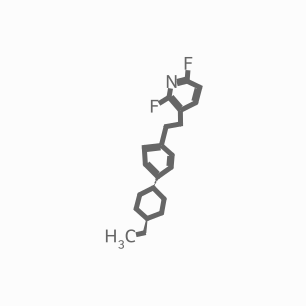 CC[C@H]1CC[C@H](c2ccc(CCc3ccc(F)nc3F)cc2)CC1